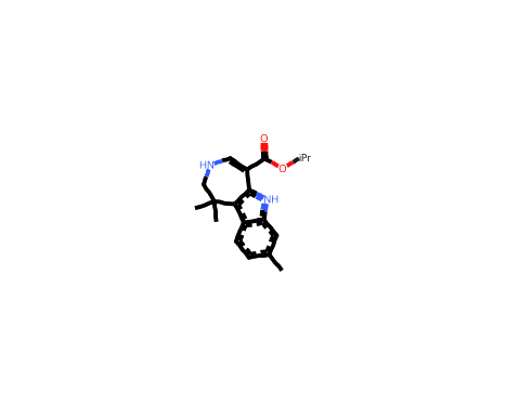 Cc1ccc2c3c([nH]c2c1)C(C(=O)OC(C)C)=CNCC3(C)C